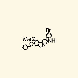 COc1cc2c(cc1OCc1ccccc1)CCN1Cc3[nH]c4ccc(Br)cc4c3CC21